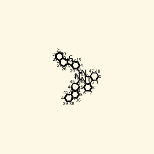 C1=CC(c2ccccc2)=C(c2nc(-c3ccc4sc5c6ccccc6ccc5c4c3)nc(C3C=c4ccc5ccccc5c4=CC3)n2)CC1